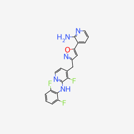 Nc1ncccc1-c1cc(Cc2ccnc(Nc3c(F)cccc3F)c2F)no1